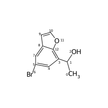 CC(O)c1cc(Br)cc2ccoc12